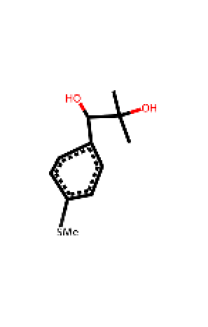 CSc1ccc(C(O)C(C)(C)O)cc1